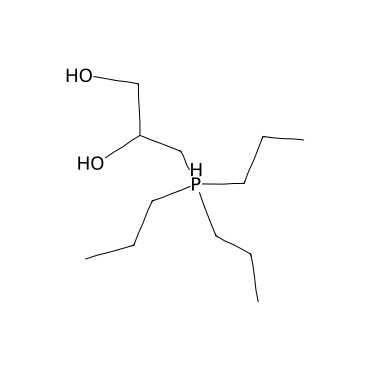 CCC[PH](CCC)(CCC)CC(O)CO